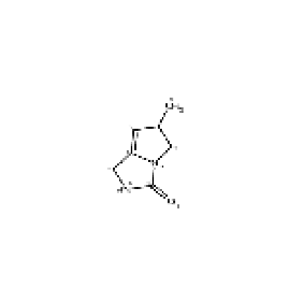 CC1C=C2CNC(=O)N2C1